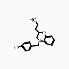 OCCC1CN(Cc2ccc(Cl)cc2)c2ccccc2O1